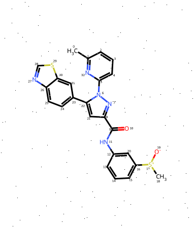 Cc1cccc(-n2nc(C(=O)Nc3cccc([S+](C)[O-])c3)cc2-c2ccc3ncsc3c2)n1